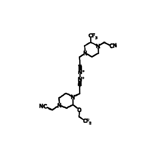 N#CCN1CCN(CC#[N+][N+]#CCN2CCN(CC#N)C(C(F)(F)F)C2)C(OCC(F)(F)F)C1